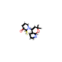 CC1(C)C=C(N2CC=CC(=O)C2=S)c2cccnc2O1